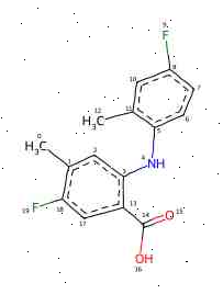 Cc1cc(Nc2ccc(F)cc2C)c(C(=O)O)cc1F